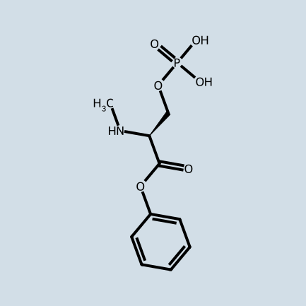 CN[C@@H](COP(=O)(O)O)C(=O)Oc1ccccc1